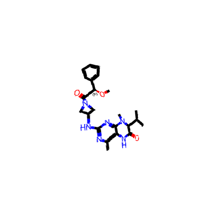 CO[C@@H](C(=O)N1CC(Nc2nc(C)c3c(n2)N(C)C(C(C)C)C(=O)N3)C1)c1ccccc1